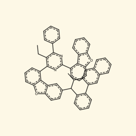 CCc1c(-c2ccccc2)nc(-c2cccc3oc4ccccc4c23)nc1-c1cccc2oc3ccc(C4c5ccccc5-c5cc6ccccc6cc5C4C)cc3c12